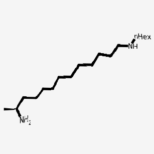 CCCCCCNCCCCCCCCCCC[C@H](C)N